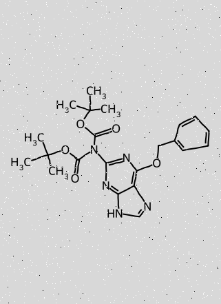 CC(C)(C)OC(=O)N(C(=O)OC(C)(C)C)c1nc(OCc2ccccc2)c2nc[nH]c2n1